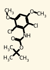 COc1cc(OC)c(Cl)c(NC(=O)OC(C)(C)C)c1Cl